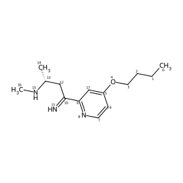 CCCCOc1[c]cnc(C(=N)C[C@@H](C)NC)c1